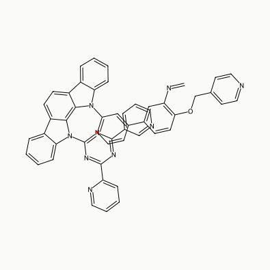 C=Nc1cc(-c2cccc(-n3c4ccccc4c4ccc5c6ccccc6n(-c6nc(-c7cccnc7)nc(-c7ccccn7)n6)c5c43)c2)ccc1OCc1ccncc1